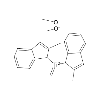 C[O-].C[O-].[CH2]=[Ti+2]([CH]1C(C)=Cc2ccccc21)[CH]1C(C)=Cc2ccccc21